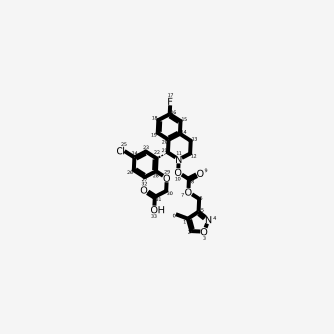 Cc1conc1COC(=O)ON1CCc2cc(F)ccc2[C@H]1c1cc(Cl)ccc1OCC(=O)O